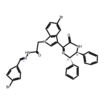 O=C(Cn1cc(C2=N[C@@H](c3ccccc3)[C@H](c3ccccc3)NC2=O)c2cc(Br)ccc21)N/N=C/c1ccc(Br)cc1